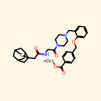 CCCCCCCCOC(=O)c1ccc(COc2ccccc2CN2CCN(C(=O)CNC(=O)CC34CC5CC(CC3C5)C4)CC2)cc1